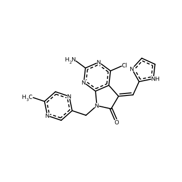 Cc1cnc(CN2C(=O)/C(=C/c3ncc[nH]3)c3c(Cl)nc(N)nc32)cn1